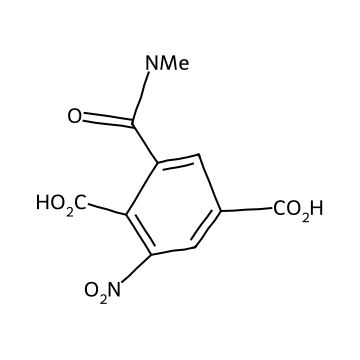 CNC(=O)c1cc(C(=O)O)cc([N+](=O)[O-])c1C(=O)O